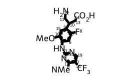 CNc1nc(Nc2cc(F)c(C(CN)CC(=O)O)cc2OC)ncc1C(F)(F)F